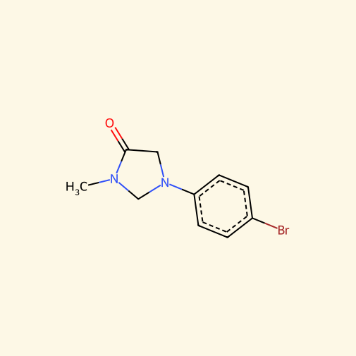 CN1CN(c2ccc(Br)cc2)CC1=O